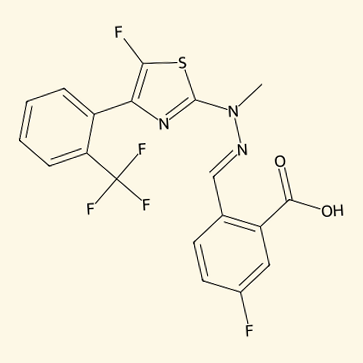 CN(/N=C/c1ccc(F)cc1C(=O)O)c1nc(-c2ccccc2C(F)(F)F)c(F)s1